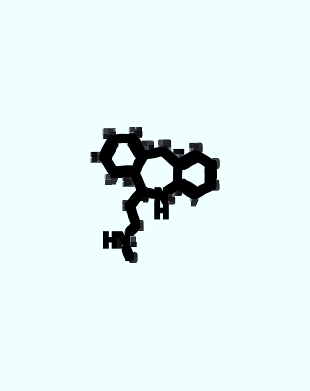 CNCCC1Nc2ccccc2Cc2ccccc21